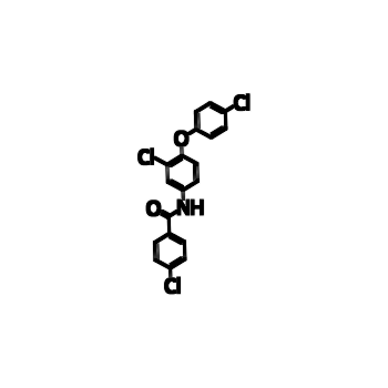 O=C(Nc1ccc(Oc2ccc(Cl)cc2)c(Cl)c1)c1ccc(Cl)cc1